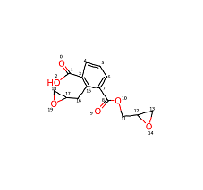 O=C(O)c1cccc(C(=O)OCC2CO2)c1CC1CO1